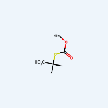 CC(C)(C)OC(=O)SC(C)(C)C(=O)O